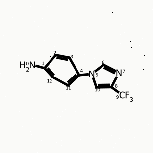 Nc1ccc(-n2cnc(C(F)(F)F)c2)cc1